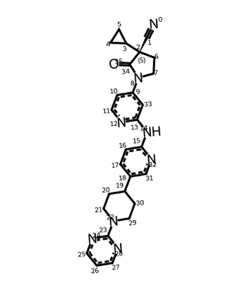 N#C[C@@]1(C2CC2)CCN(c2ccnc(Nc3ccc(C4CCN(c5ncccn5)CC4)cn3)c2)C1=O